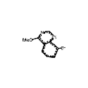 COc1ncnc2c(Br)cccc12